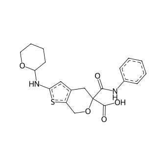 O=C(O)C1(C(=O)Nc2ccccc2)Cc2cc(NC3CCCCO3)sc2CO1